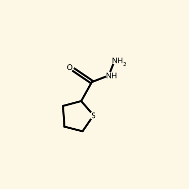 NNC(=O)C1CCCS1